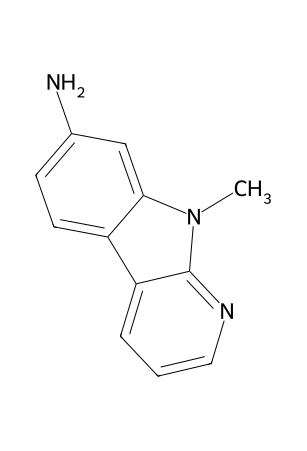 Cn1c2cc(N)ccc2c2cccnc21